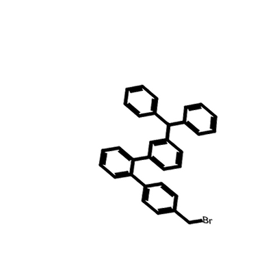 BrCc1ccc(-c2ccccc2-c2cccc([C](c3ccccc3)c3ccccc3)c2)cc1